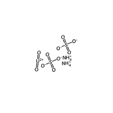 O=S(=O)([O-])[O-].O=S(=O)([O-])[O-].[NH4+].[NH4+].[O]=[U+2]=[O]